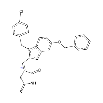 O=C1NC(=S)S/C1=C/c1cc2cc(OCc3ccccc3)ccc2n1Cc1ccc(Cl)cc1